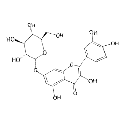 O=c1c(O)c(-c2ccc(O)c(O)c2)oc2cc(OC3O[C@H](CO)[C@@H](O)[C@H](O)[C@H]3O)cc(O)c12